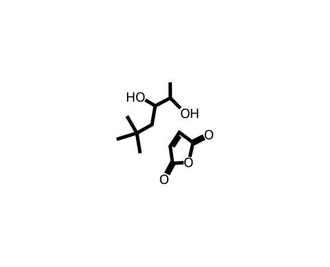 CC(O)C(O)CC(C)(C)C.O=C1C=CC(=O)O1